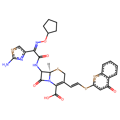 Nc1nc(/C(=N/OC2CCCC2)C(=O)NC2C(=O)N3C(C(=O)O)=C(/C=C/Sc4cc(=O)c5ccccc5s4)CS[C@H]23)cs1